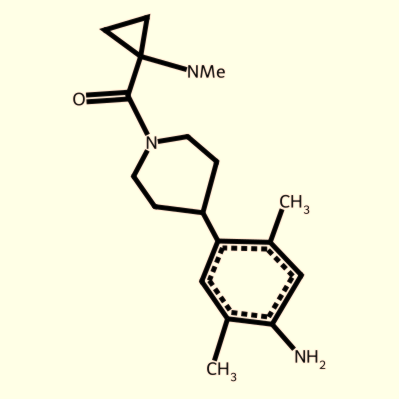 CNC1(C(=O)N2CCC(c3cc(C)c(N)cc3C)CC2)CC1